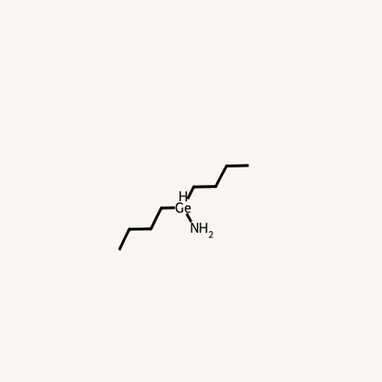 CCC[CH2][GeH]([NH2])[CH2]CCC